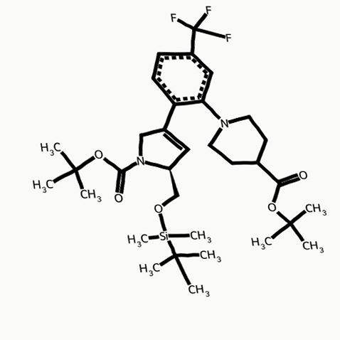 CC(C)(C)OC(=O)C1CCN(c2cc(C(F)(F)F)ccc2C2=C[C@@H](CO[Si](C)(C)C(C)(C)C)N(C(=O)OC(C)(C)C)C2)CC1